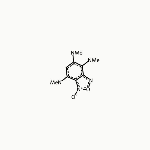 CNc1cc(NC)c2c(no[n+]2[O-])c1NC